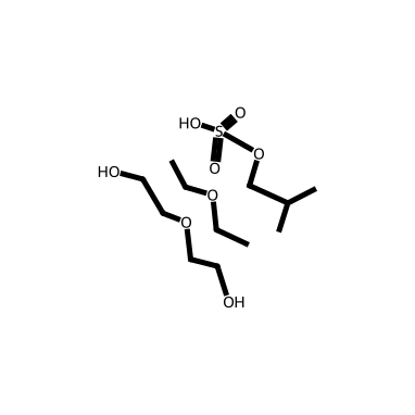 CC(C)COS(=O)(=O)O.CCOCC.OCCOCCO